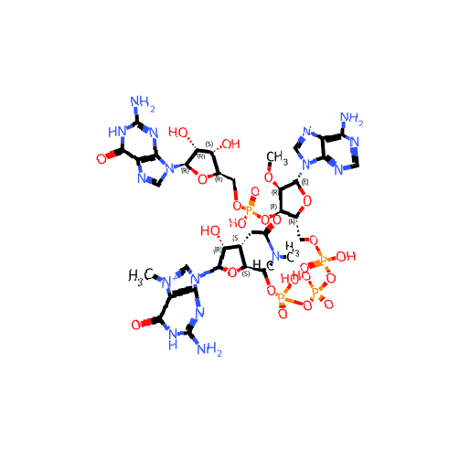 CO[C@@H]1[C@H](OP(=O)(O)OC[C@H]2O[C@@H](n3cnc4c(=O)[nH]c(N)nc43)[C@H](O)[C@@H]2O)[C@@H](COP(=O)(O)OP(=O)(O)OP(=O)(O)OC[C@H]2OC(n3c[n+](C)c4c(=O)[nH]c(N)nc43)[C@H](O)[C@@H]2CC(=O)N(C)C)O[C@H]1n1cnc2c(N)ncnc21